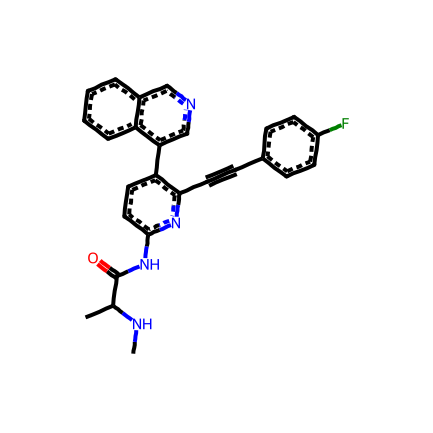 CNC(C)C(=O)Nc1ccc(-c2cncc3ccccc23)c(C#Cc2ccc(F)cc2)n1